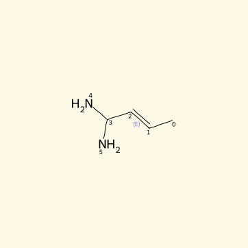 C/C=C/C(N)N